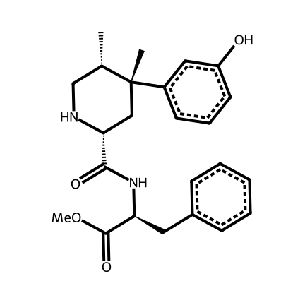 COC(=O)[C@H](Cc1ccccc1)NC(=O)[C@H]1C[C@@](C)(c2cccc(O)c2)[C@@H](C)CN1